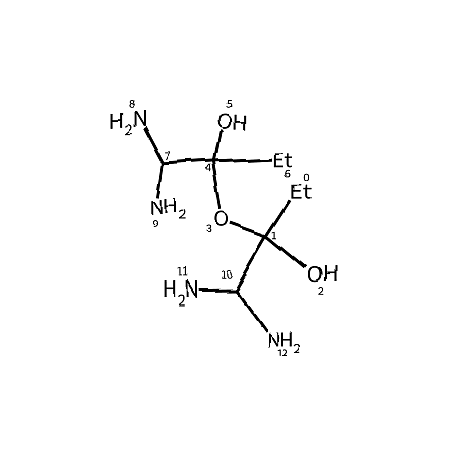 CCC(O)(OC(O)(CC)C(N)N)C(N)N